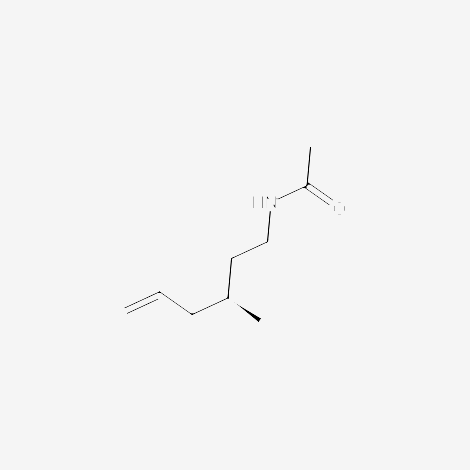 C=CC[C@H](C)CCNC(C)=O